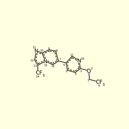 FC(F)(F)COc1ccc(-c2ccc3ncc(C(F)(F)F)n3c2)cn1